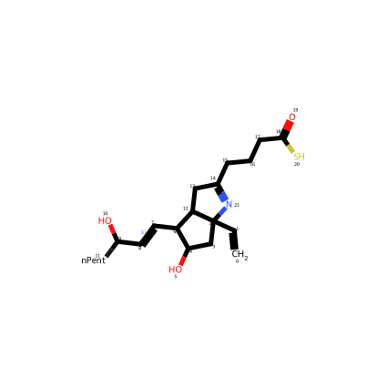 C=CC12CC(O)C(/C=C/C(O)CCCCC)C1CC(CCCC(=O)S)=N2